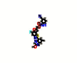 COc1cnc2c(-c3nc4cc(F)c5c(c4s3)C[C@H](COC(=O)Nc3cccc(C#N)c3)O5)cc(C)cc2n1